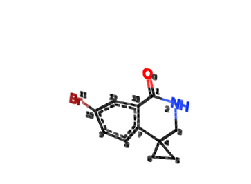 O=C1NCC2(CC2)c2ccc(Br)cc21